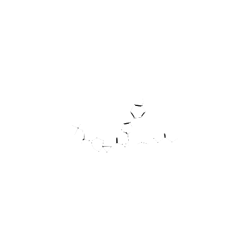 CCC(=O)CCCCC[C@H](NC(=O)[C@H]1CC12CCN(C(=O)OC(C)(C)C)CC2)c1ncc(-c2ccc(Cl)cc2)o1